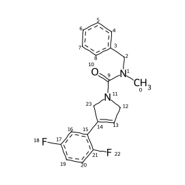 CN(Cc1ccccc1)C(=O)N1CC=C(c2cc(F)ccc2F)C1